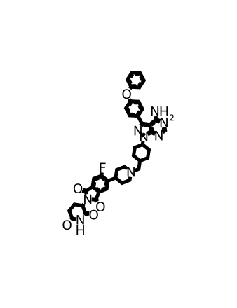 Nc1ncnc2c1c(-c1ccc(Oc3ccccc3)cc1)nn2C1CCC(CN2CCC(c3cc4c(cc3F)C(=O)N(C3CCC(=O)NC3=O)C4=O)CC2)CC1